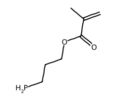 C=C(C)C(=O)OCCCP